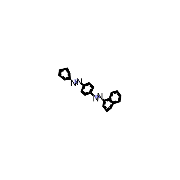 c1ccc(/N=N/c2ccc(/N=N/c3cccc4ccccc34)cc2)cc1